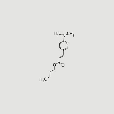 CCCCOC(=O)C=Cc1ccc(N(C)C)cc1